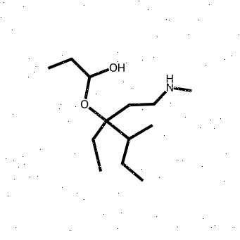 CCC(O)OC(CC)(CCNC)C(C)CC